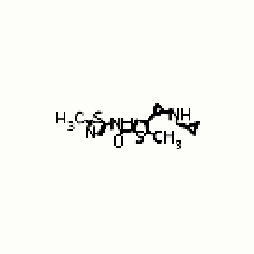 Cc1ncc(NC(=O)c2cc(C3CC3NCC3CC3)c(C)s2)s1